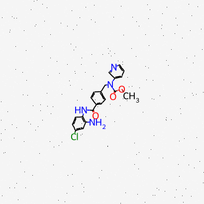 COC(=O)N(Cc1ccc(C(=O)Nc2ccc(Cl)cc2N)cc1)c1cccnc1